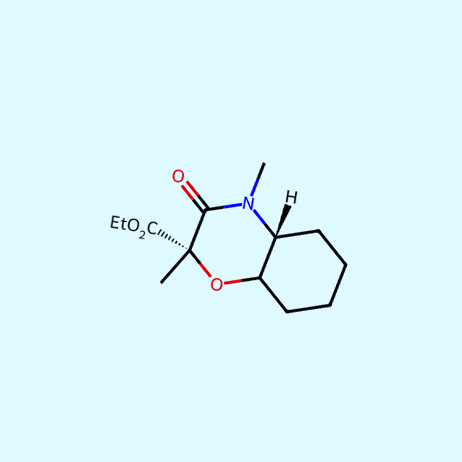 CCOC(=O)[C@@]1(C)OC2CCCC[C@H]2N(C)C1=O